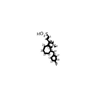 Cn1nc(/C=C/S(=O)(=O)O)c2c1C(Cc1ccc(F)cc1)CCCC2